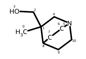 CC1(CO)CN2CCC1CC2